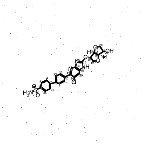 NS(=O)(=O)c1ccc(-c2ccc(-c3nc4nc(O[C@@H]5CO[C@H]6[C@@H]5OC[C@H]6O)[nH]c4cc3Cl)cc2)cc1